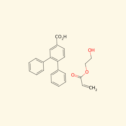 C=CC(=O)OCCO.O=C(O)c1ccc(-c2ccccc2)c(-c2ccccc2)c1